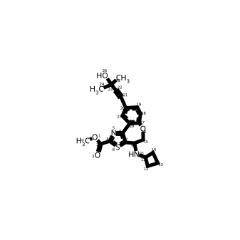 COC(=O)c1nc2c(s1)C(NC1CCC1)COc1ccc(C#CC(C)(C)O)cc1-2